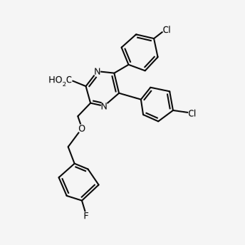 O=C(O)c1nc(-c2ccc(Cl)cc2)c(-c2ccc(Cl)cc2)nc1COCc1ccc(F)cc1